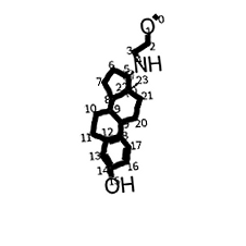 COCCN[C@H]1CCC2C3CCc4cc(O)ccc4C3CC[C@@]21C